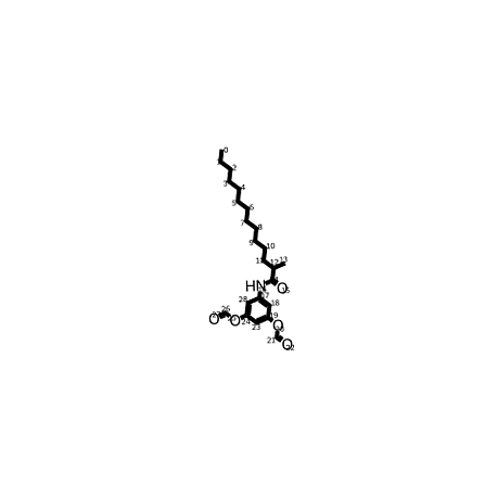 CCCCCCCCCCCCC(C)C(=O)Nc1cc(OC=O)cc(OC=O)c1